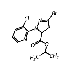 CC(C)OC(=O)C1CC(Br)=NN1c1ncccc1Cl